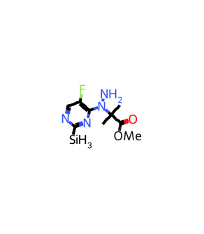 COC(=O)C(C)(C)N(N)c1nc([SiH3])ncc1F